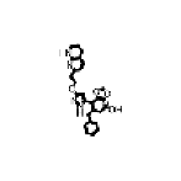 O=C(O)CC(Cc1ccccc1)C(C1=COCO1)c1cc(OCCc2ccc3c(n2)NCCC3)n[nH]1